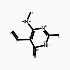 C=CC1=C(NC)N=C(C)NC1=C